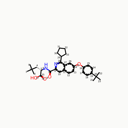 CC(C)(C)C[C@H](NC(=O)c1cc2ccc(Oc3ccc(C(C)(C)C)cc3)cc2c(C2CCCC2)n1)C(=O)O